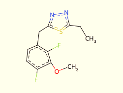 CCc1nnc(Cc2ccc(F)c(OC)c2F)s1